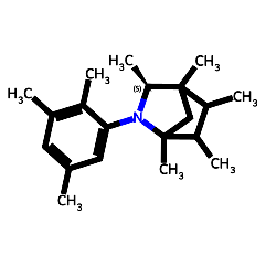 Cc1cc(C)c(C)c(N2[C@@H](C)C3(C)CC2(C)C(C)C3C)c1